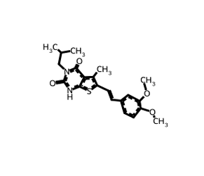 COc1ccc(C=Cc2sc3[nH]c(=O)n(CC(C)C)c(=O)c3c2C)cc1OC